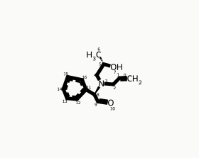 C=CCN(C[C@H](C)O)[C@@H](C=O)c1ccccc1